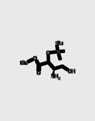 CC(C)(C)OC(=O)C(O[Si](C)(C)C(C)(C)C)[C@@H](N)CO